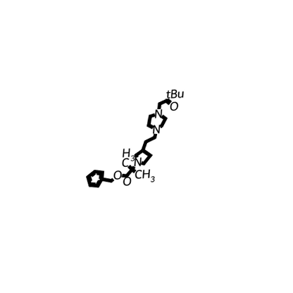 CC(C)(C)C(=O)CN1CCN(CCC2CCN(C(C)(C)C(=O)OCc3ccccc3)C2)CC1